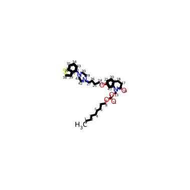 CCCCCCCCCOC(=O)OCN1C(=O)CCc2ccc(OCCCCN3CCN(c4cccc5sccc45)CC3)cc21